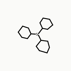 C1CCC([Si](C2CCCCC2)C2CCCCC2)CC1